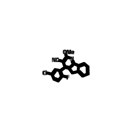 COc1nc2c(c(-c3cc(Cl)ccc3F)c1C#N)Cc1ccccc1-2